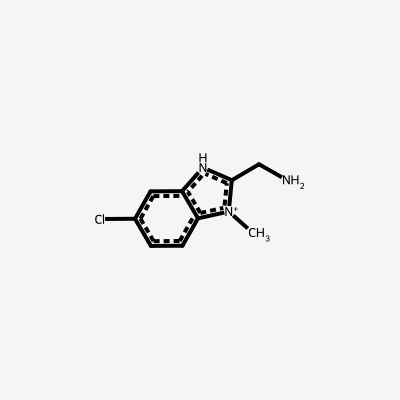 C[n+]1c(CN)[nH]c2cc(Cl)ccc21